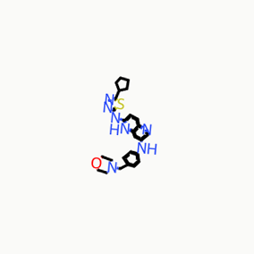 c1cc(Nc2cnc3ccc(Nc4nnc(C5CCCC5)s4)nc3c2)ccc1CN1CCOCC1